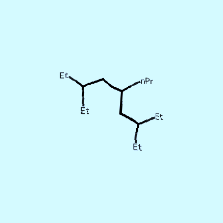 CCCC(CC(CC)CC)CC(CC)CC